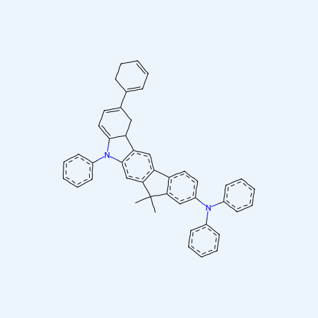 CC1(C)c2cc(N(c3ccccc3)c3ccccc3)ccc2-c2cc3c(cc21)N(c1ccccc1)C1=CC=C(C2=CC=CCC2)CC13